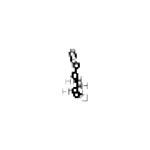 Clc1ccc2[nH]cc(Nc3nc4cc(-c5cccc(CN6CCOCC6)c5)ccc4[nH]3)c2n1